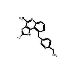 NCc1ccc(Cc2cccc3nc(N)c4nc(O)[nH]c4c23)cc1